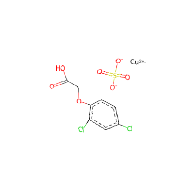 O=C(O)COc1ccc(Cl)cc1Cl.O=S(=O)([O-])[O-].[Cu+2]